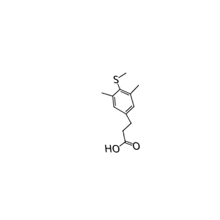 CSc1c(C)cc(CCC(=O)O)cc1C